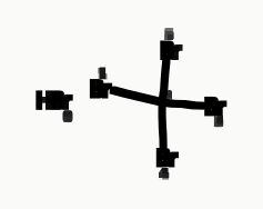 Br.BrC(Br)(Br)Br